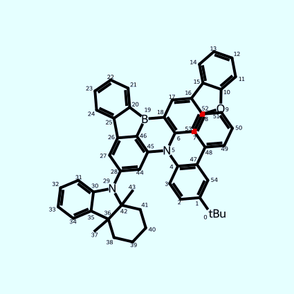 CC(C)(C)c1ccc(N2c3cc4oc5ccccc5c4cc3B3c4ccccc4-c4cc(N5c6ccccc6C6(C)CCCCC56C)cc2c43)c(-c2ccccc2)c1